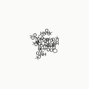 CC(=O)OC1[C@@H](O[C@@H]2C(O)C(O[C@H]3OC(CNC(=O)OC(C)(C)C)CCC3NC(=O)OC(C)(C)C)[C@H](NC(=O)OC(C)(C)C)C[C@H]2NC(=O)[C@H](CCNC(=O)OC(C)(C)C)OC(C)=O)OC2COC3(CCCCC3)O[C@H]2[C@@H]1NC(=O)OC(C)(C)C